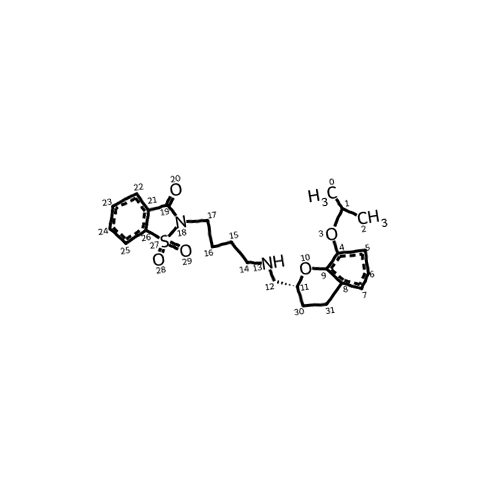 CC(C)Oc1cccc2c1O[C@@H](CNCCCCN1C(=O)c3ccccc3S1(=O)=O)CC2